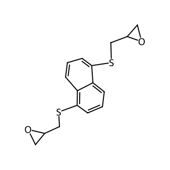 c1cc(SCC2CO2)c2cccc(SCC3CO3)c2c1